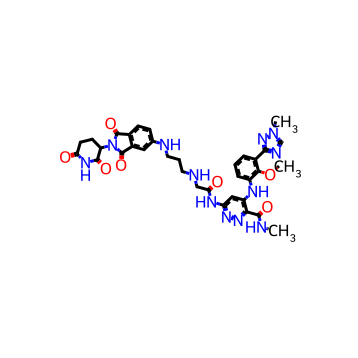 CNC(=O)c1nnc(NC(=O)CNCCCNc2ccc3c(c2)C(=O)N(C2CCC(=O)NC2=O)C3=O)cc1Nc1cccc(-c2ncn(C)n2)c1OC